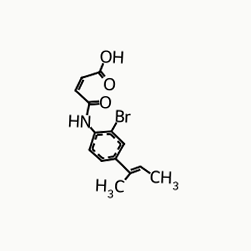 CC=C(C)c1ccc(NC(=O)/C=C\C(=O)O)c(Br)c1